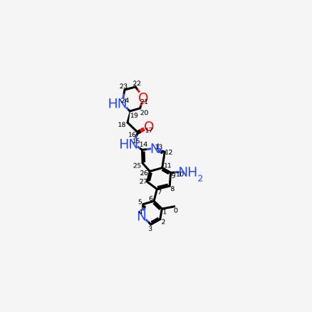 Cc1ccncc1-c1cc(N)c2cnc(NC(=O)C[C@@H]3COCCN3)cc2c1